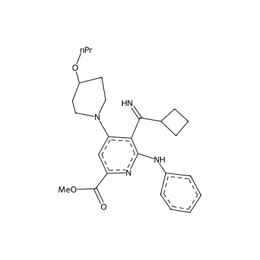 CCCOC1CCN(c2cc(C(=O)OC)nc(Nc3ccccc3)c2C(=N)C2CCC2)CC1